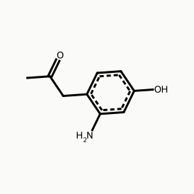 CC(=O)Cc1ccc(O)cc1N